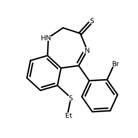 CCSc1cccc2c1C(c1ccccc1Br)=NC(=S)CN2